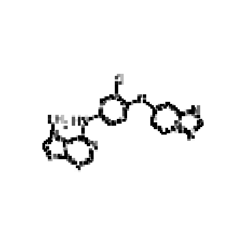 Cn1ccc2ncnc(Nc3ccc(Oc4ccn5ncnc5c4)c(Cl)c3)c21